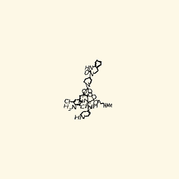 CNCCCOC(=O)[C@H](CNC1CCNCC1)NC(=O)[C@@H](Cc1cc(Cl)c(N)c(C(F)(F)F)c1)OC(=O)N1CCC(N2CCc3ccccc3NC2=O)CC1